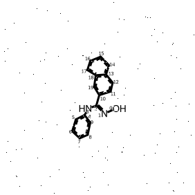 O/N=C(/Nc1ccccc1)c1ccc2ccccc2c1